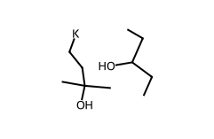 CC(C)(O)C[CH2][K].CCC(O)CC